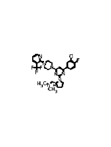 CN(C)C[C@@H]1CCCN1c1nc(-c2ccc(F)c(Cl)c2)cc(N2CCN(c3ncccc3C(F)(F)F)CC2)n1